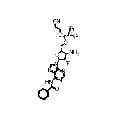 CC(C)N(C(C)C)P(OCCC#N)OC[C@H]1O[C@@H](n2cnc3c(NC(=O)c4ccccc4)ncnc32)[C@@H](F)[C@@H]1N